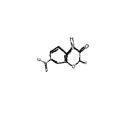 O=C1Nc2ccc([N+](=O)[O-])cc2OC1F